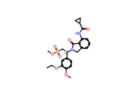 CCOc1cc([C@@H](CS(=O)(=O)OC)N2Cc3cccc(NC(=O)C4CC4)c3C2=O)ccc1OC